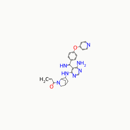 C=CC(=O)N1CC2CC(Nc3ncnc(N)c3C(=N)c3ccc(Oc4ccncc4)cc3)C1C2